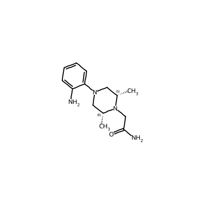 C[C@@H]1CN(c2ccccc2N)C[C@H](C)N1CC(N)=O